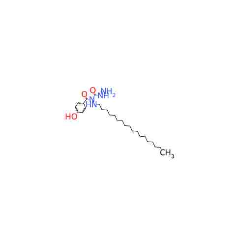 CCCCCCCCCCCCCCCCCCNN(C(=O)NN)C(=O)c1ccc(O)cc1